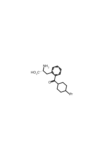 CC(C)C1CCC(C(=O)c2ccccc2C[C@@H](N)C(=O)O)CC1